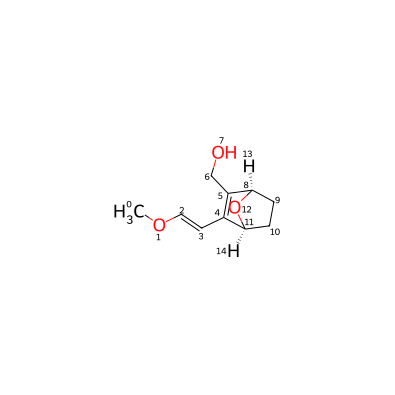 COC=CC1=C(CO)[C@H]2CC[C@@H]1O2